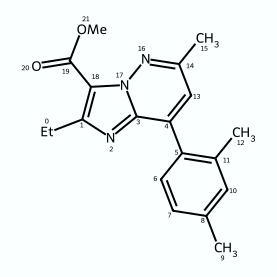 CCc1nc2c(-c3ccc(C)cc3C)cc(C)nn2c1C(=O)OC